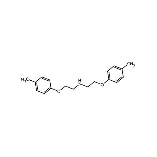 Cc1ccc(OCCNCCOc2ccc(C)cc2)cc1